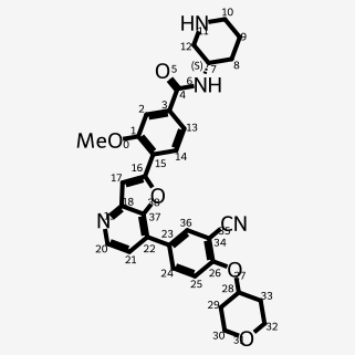 COc1cc(C(=O)N[C@H]2CCCNC2)ccc1-c1cc2nccc(-c3ccc(OC4CCOCC4)c(C#N)c3)c2o1